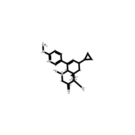 COc1ccc(C2=CC(C3CC3)CC34C=N[S+]([O-])C3C(=O)CN(F)C24)cn1